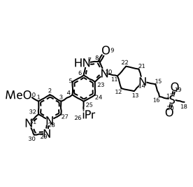 COc1cc(-c2cc3[nH]c(=O)n(C4CCN(CCS(C)(=O)=O)CC4)c3cc2C(C)C)cn2ncnc12